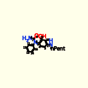 CCCCCNc1ccc(N(C(N)=O)c2ccccc2)c(O)c1